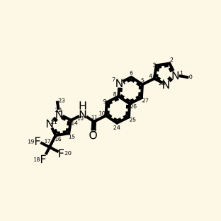 Cn1ccc(-c2cnc3cc(C(=O)Nc4cc(C(F)(F)F)nn4C)ccc3c2)n1